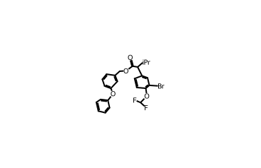 CC(C)C(C(=O)OCc1cccc(Oc2ccccc2)c1)c1ccc(OC(F)F)c(Br)c1